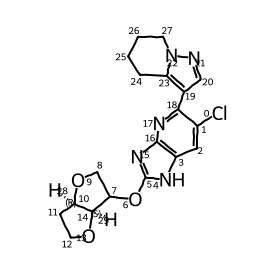 Clc1cc2[nH]c(OC3CO[C@@H]4CCO[C@H]34)nc2nc1-c1cnn2c1CCCC2